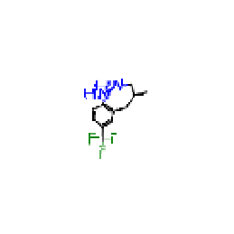 CC1CNNc2ccc(C(F)(F)F)cc2C1